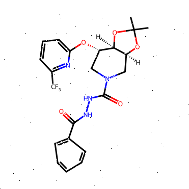 CC1(C)O[C@@H]2[C@@H](Oc3cccc(C(F)(F)F)n3)CN(C(=O)NNC(=O)c3ccccc3)C[C@@H]2O1